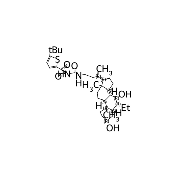 CC[C@H]1[C@@H](O)C2[C@@H]3CC[C@H]([C@H](C)CCNC(=O)NS(=O)(=O)c4ccc(C(C)(C)C)s4)C3(C)CC[C@@H]2[C@@]2(C)CC[C@@H](O)C[C@@H]12